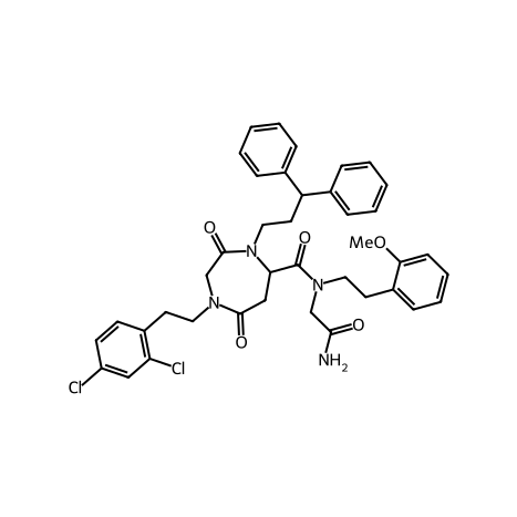 COc1ccccc1CCN(CC(N)=O)C(=O)C1CC(=O)N(CCc2ccc(Cl)cc2Cl)CC(=O)N1CCC(c1ccccc1)c1ccccc1